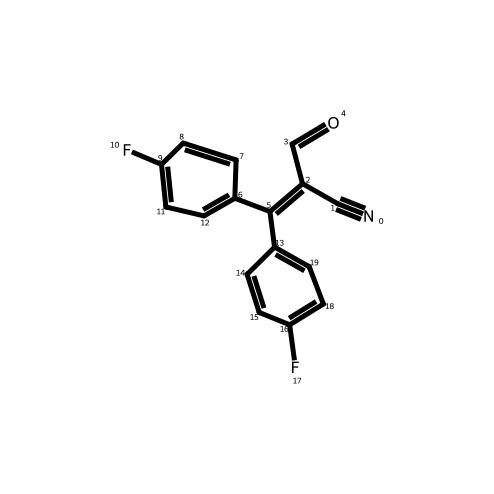 N#CC(C=O)=C(c1ccc(F)cc1)c1ccc(F)cc1